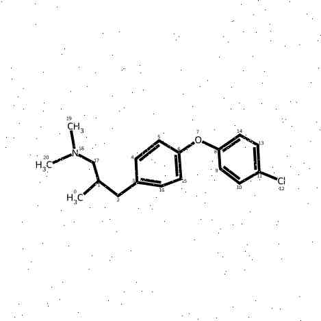 CC(Cc1ccc(Oc2ccc(Cl)cc2)cc1)CN(C)C